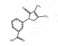 CC1=C(C)C(=O)N(c2cccc(C(=O)O)c2)C1